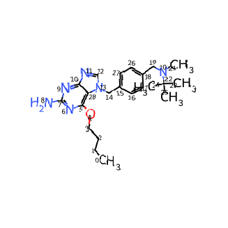 CCCCOc1nc(N)nc2ncn(Cc3ccc(CN(C)C(C)(C)C)cc3)c12